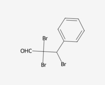 O=CC(Br)(Br)C(Br)c1ccccc1